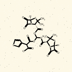 CC1(C)S[C@@H]2C(=O)C(=O)N2[C@H]1C(=O)OC(OC(=O)C(C(=O)Cl)c1ccsc1)OC(=O)[C@@H]1N2C(=O)C(=O)[C@H]2SC1(C)C